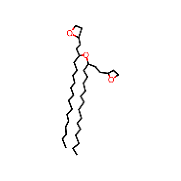 CCCCCCCCCCCCCCC(CCC1CCO1)OC(CCCCCCCCCCCCCC)CCC1CCO1